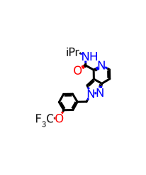 CC(C)NC(=O)c1nccc2nn(Cc3cccc(OC(F)(F)F)c3)cc12